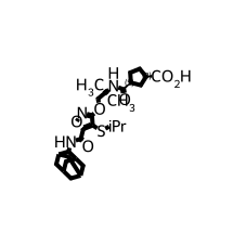 CC(C)Sc1c(OCC(C)(C)NC(=O)[C@H]2CC[C@@H](C(=O)O)C2)noc1C(=O)NC1C2CC3CC(C2)CC1C3